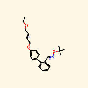 CCOC/C=C/COc1ccc(-c2ccccc2/C=N/OC(C)(C)C)cc1